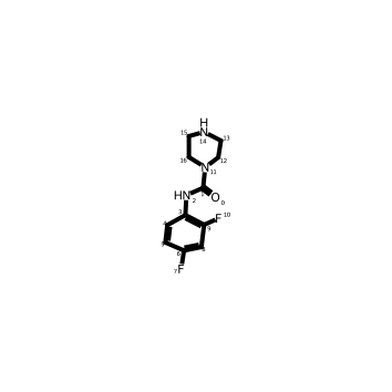 O=C(Nc1ccc(F)cc1F)N1CCNCC1